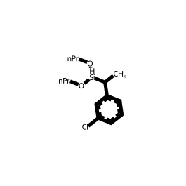 CCCO[SiH](OCCC)C(C)c1cccc(Cl)c1